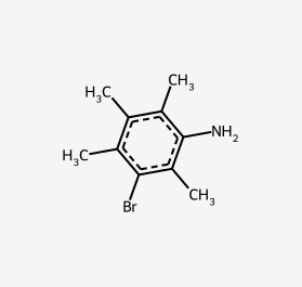 Cc1c(C)c(N)c(C)c(Br)c1C